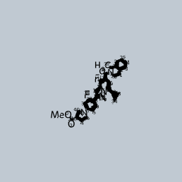 COC(=O)[C@H]1CCN(c2ccc(-c3cc4c(F)c(C(=O)N5CCc6ccccc6[C@H]5C)cc(C5CC5)n4n3)c(F)c2)C1